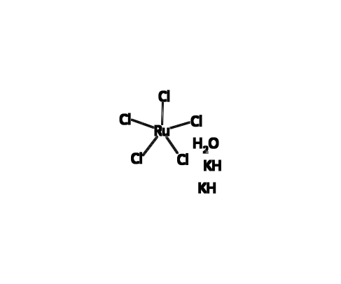 O.[Cl][Ru]([Cl])([Cl])([Cl])[Cl].[KH].[KH]